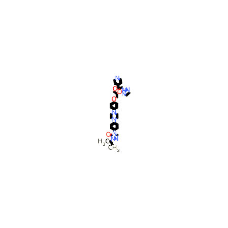 CCC(C)n1ncn(-c2ccc(N3CCN(c4ccc(OCC5COC(Cn6nccn6)(c6ccncc6)O5)cc4)CC3)cc2)c1=O